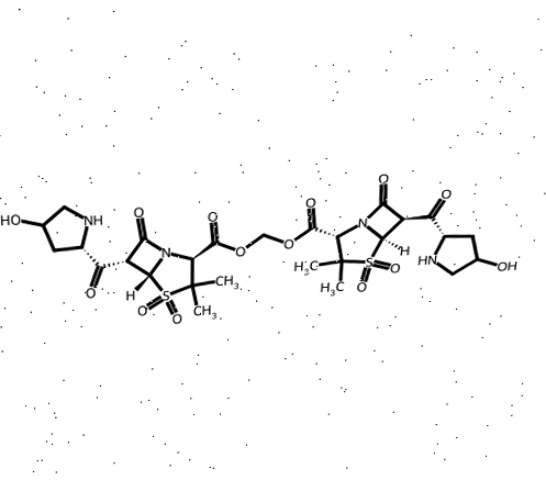 CC1(C)[C@H](C(=O)OCOC(=O)[C@@H]2N3C(=O)[C@@H](C(=O)[C@@H]4CC(O)CN4)[C@H]3S(=O)(=O)C2(C)C)N2C(=O)[C@@H](C(=O)[C@@H]3CC(O)CN3)[C@H]2S1(=O)=O